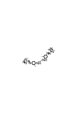 Cc1cc(N=Nc2n(C)nc[n+]2C)ccc1NCCCNc1ccc(N=Nc2n(C)nc[n+]2C)cc1C